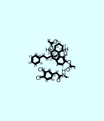 CC(=O)Oc1ccc2c3c1O[C@H]1CCC[C@@]4(OC(C)=O)[C@@H](C2)N(CCc2ccccc2)CC[C@]314.CNC(=O)Cc1ccc(Cl)c(Cl)c1